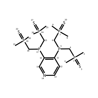 CP(C)(=S)CP(CP(C)(C)=S)c1ccncc1P(CP(C)(C)=S)CP(C)(C)=S